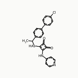 CC([AsH]c1c(Nc2ccncc2)c(=O)c1=O)c1ccc(-c2ccc(Cl)cc2)cc1